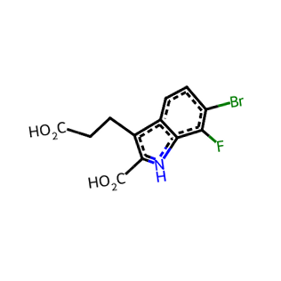 O=C(O)CCc1c(C(=O)O)[nH]c2c(F)c(Br)ccc12